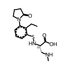 CCc1c(SN[C@@H](CNC)C(=O)O)cccc1N1CCCC1=O